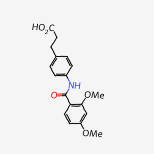 COc1ccc(C(=O)Nc2ccc(CCC(=O)O)cc2)c(OC)c1